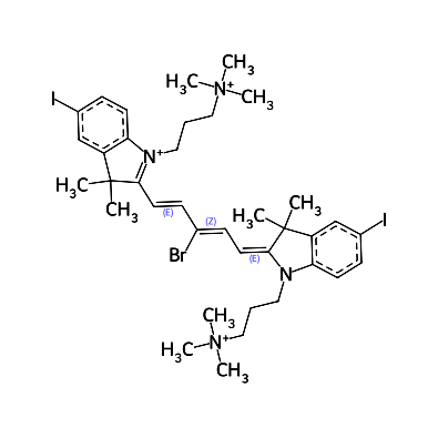 CC1(C)C(/C=C/C(Br)=C/C=C2/N(CCC[N+](C)(C)C)c3ccc(I)cc3C2(C)C)=[N+](CCC[N+](C)(C)C)c2ccc(I)cc21